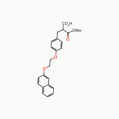 COC(=O)C(Cc1ccc(OCCOc2ccc3ccccc3c2)cc1)C(=O)O